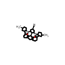 Cc1ccc2c(c1)c1ccccc1n2-c1cc(C#N)cc(-n2c3ccccc3c3cc(C)ccc32)c1-c1c(C#N)cccc1C(F)(F)F